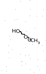 COCOCCCO